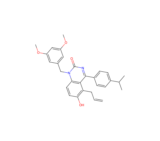 C=CCc1c(O)ccc2c1c(-c1ccc(C(C)C)cc1)nc(=O)n2Cc1cc(OC)cc(OC)c1